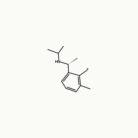 Cc1cccc([C@@H](C)NC(C)C)c1F